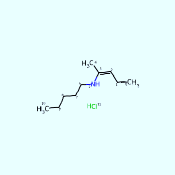 CCC=C(C)NCCCCC.Cl